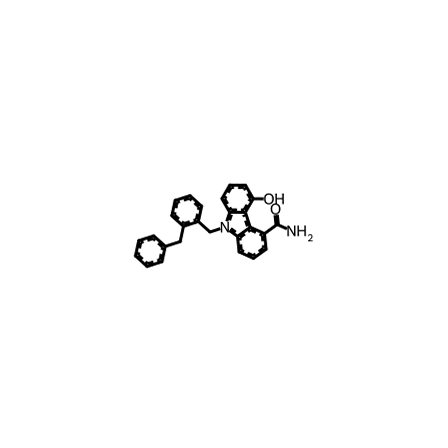 NC(=O)c1cccc2c1c1c(O)cccc1n2Cc1ccccc1Cc1ccccc1